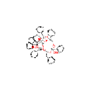 O[Si]1(c2ccccc2)OC[Si]2(c3ccccc3)O[SiH](c3ccccc3)OC[Si](Cc3ccccc3)(O1)O[Si]1(c3ccccc3)O[SiH](c3ccccc3)O[Si](c3ccccc3)(O[Si](O)(c3ccccc3)O1)O2